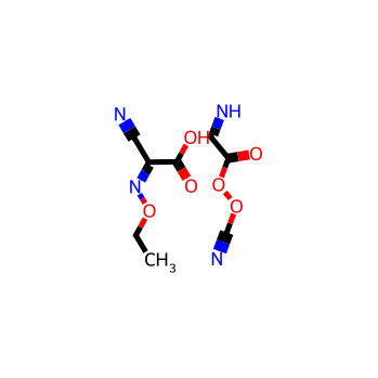 CCON=C(C#N)C(=O)O.N#COOC(=O)C=N